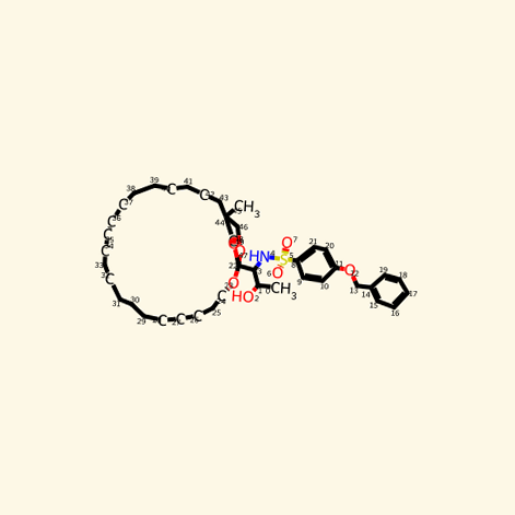 CC(O)C(NS(=O)(=O)c1ccc(OCc2ccccc2)cc1)C12OCCCCCCCCCCCCCCCCCCCCC(C)(CO1)CO2